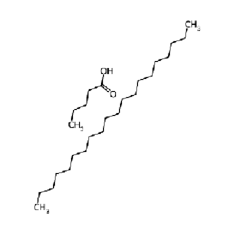 CCCCC(=O)O.CCCCCCCCCCCCCCCCCCCC